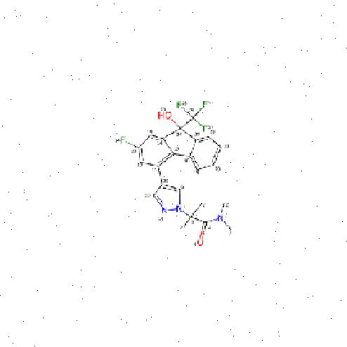 CN(C)C(=O)C(C)(C)n1cc(-c2cc(F)cc3c2-c2ccccc2C3(O)C(F)(F)F)cn1